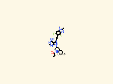 C=CC(=O)NC[C@H](C/C(=C/C)COC)n1nc(C#Cc2c(F)cc3c(nc(C)n3C)c2F)c2c(N)ncnc21